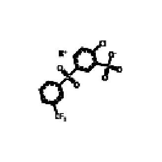 O=S(=O)([O-])c1cc(S(=O)(=O)c2cccc(C(F)(F)F)c2)ccc1Cl.[K+]